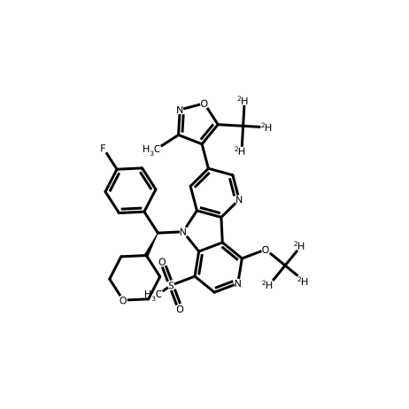 [2H]C([2H])([2H])Oc1ncc(S(C)(=O)=O)c2c1c1ncc(-c3c(C)noc3C([2H])([2H])[2H])cc1n2[C@H](c1ccc(F)cc1)C1CCOCC1